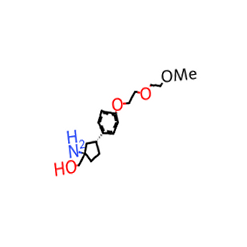 COCCOCCOc1ccc([C@@H]2CC[C@](N)(CO)C2)cc1